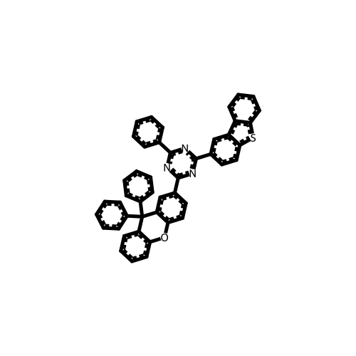 c1ccc(-c2nc(-c3ccc4c(c3)C(c3ccccc3)(c3ccccc3)c3ccccc3O4)nc(-c3ccc4sc5ccccc5c4c3)n2)cc1